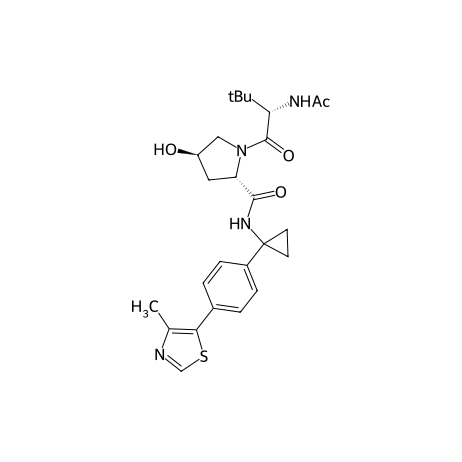 CC(=O)N[C@H](C(=O)N1C[C@H](O)C[C@H]1C(=O)NC1(c2ccc(-c3scnc3C)cc2)CC1)C(C)(C)C